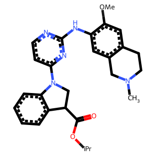 COc1cc2c(cc1Nc1nccc(N3CC(C(=O)OC(C)C)c4ccccc43)n1)CN(C)CC2